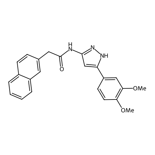 COc1ccc(-c2cc(NC(=O)Cc3ccc4ccccc4c3)n[nH]2)cc1OC